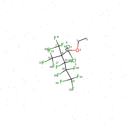 CCO[Si](Cl)(Cl)C(C(F)(F)F)(C(F)(F)F)C(F)(F)C(F)(F)C(F)(F)F